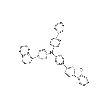 C1=CC2c3ccccc3OC2C=C1c1ccc(N(c2ccc(-c3ccccc3)cc2)c2ccc(-c3cccc4ccccc34)cc2)cc1